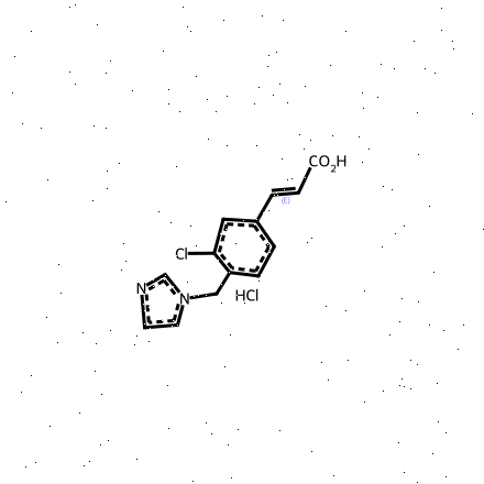 Cl.O=C(O)/C=C/c1ccc(Cn2ccnc2)c(Cl)c1